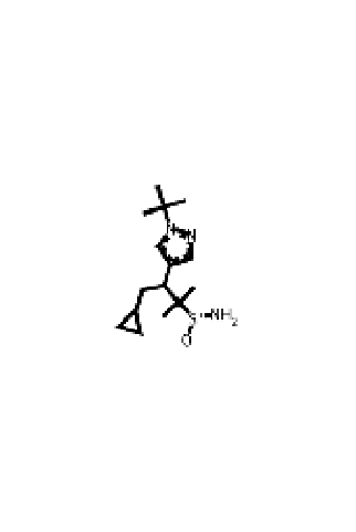 CC(C)(C)n1cc(C(CC2CC2)C(C)(C)[S+](N)[O-])cn1